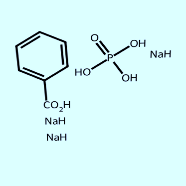 O=C(O)c1ccccc1.O=P(O)(O)O.[NaH].[NaH].[NaH]